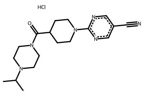 CC(C)N1CCN(C(=O)C2CCN(c3ncc(C#N)cn3)CC2)CC1.Cl